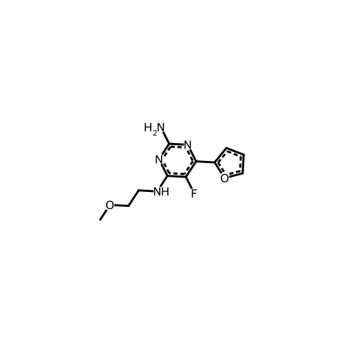 COCCNc1nc(N)nc(-c2ccco2)c1F